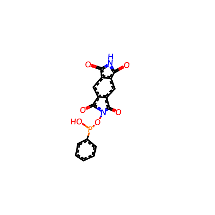 O=c1[nH]c(=O)c2cc3c(=O)n(OP(O)c4ccccc4)c(=O)c3cc12